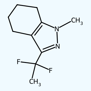 Cn1nc(C(C)(F)F)c2c1CCCC2